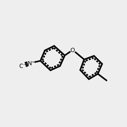 [C-]#[N+]c1ccc(Oc2ccc(C)cc2)cc1